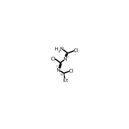 CC[C@H](Cl)/N=C(Cl)\N=C(/N)Cl